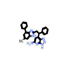 N#Cc1cc(-c2ccccc2)c2nc(CC(c3ccccc3)c3cc(N)nc4[nH]nnc34)[nH]c2c1